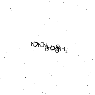 NS(=O)(=O)c1ccc(C(=O)CN2CCN(c3ccncc3)CC2)cc1